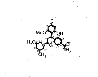 COc1cc(C)cc(O)c1C(CC(=O)N1CC(C)CC(C)C1)c1ccc(C(N)=O)cc1